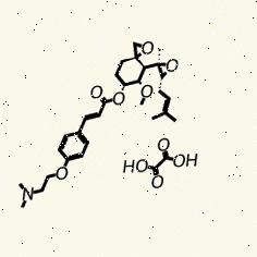 CO[C@@H]1[C@H](OC(=O)/C=C/c2ccc(OCCN(C)C)cc2)CC[C@]2(CO2)[C@H]1[C@@]1(C)O[C@@H]1CC=C(C)C.O=C(O)C(=O)O